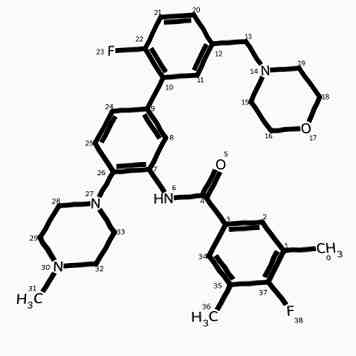 Cc1cc(C(=O)Nc2cc(-c3cc(CN4CCOCC4)ccc3F)ccc2N2CCN(C)CC2)cc(C)c1F